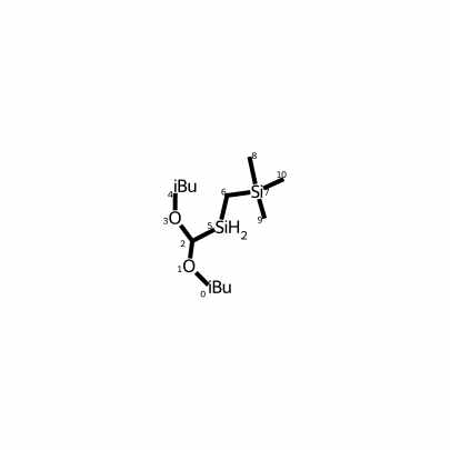 CCC(C)OC(OC(C)CC)[SiH2]C[Si](C)(C)C